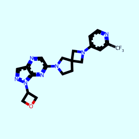 FC(F)(F)c1cc(N2CC3(CCN(c4cnc5cnn(C6COC6)c5n4)C3)C2)ccn1